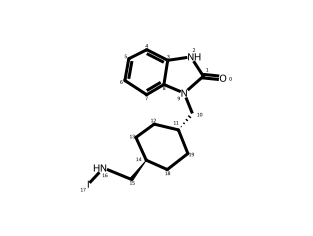 O=c1[nH]c2ccccc2n1C[C@H]1CC[C@H](CNI)CC1